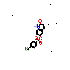 O=C1CCc2cc(OS(=O)(=O)c3ccc(Br)cc3)ccc2N1